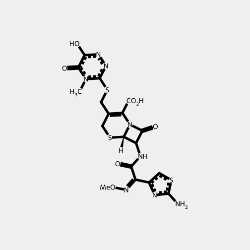 CO/N=C(\C(=O)NC1C(=O)N2C(C(=O)O)=C(CSc3nnc(O)c(=O)n3C)CS[C@@H]12)c1csc(N)n1